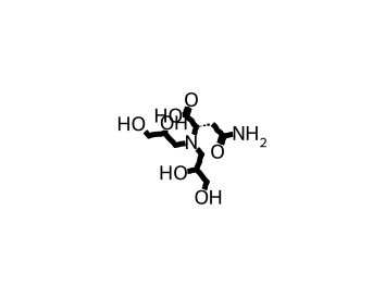 NC(=O)C[C@@H](C(=O)O)N(CC(O)CO)CC(O)CO